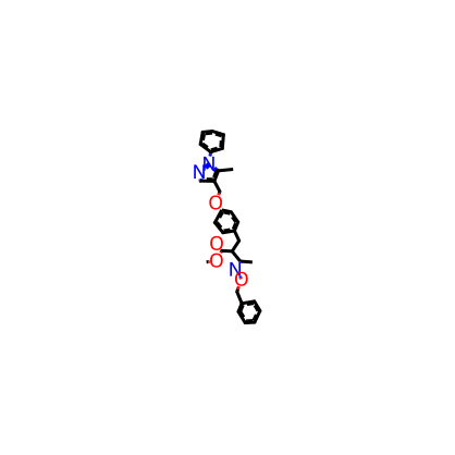 COC(=O)C(Cc1ccc(OCc2cnn(-c3ccccc3)c2C)cc1)/C(C)=N/OCc1ccccc1